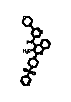 Cc1c(N2CCN(S(=O)(=O)c3cccnc3)CC2)nc2ccccc2c1N(F)c1cncc(N2CCOCC2)c1